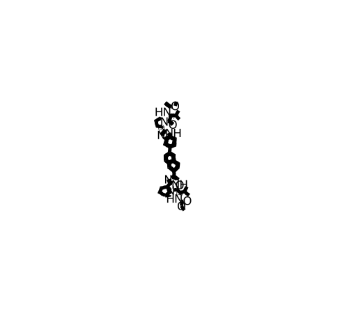 C=C(N[C@H](C(=O)N1CCC[C@H]1c1nc2cc(-c3ccc4cc(-c5c[nH]c(C67CCC(CN6C(=O)[C@@H](NC(=O)OC)C(C)C)C7)n5)ccc4c3)ccc2[nH]1)C(C)C)OC